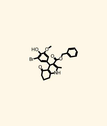 COc1cc(C2C(C(=O)OCc3ccccc3)=C(C)NC3=C2C(=O)CCC3)cc(Br)c1O